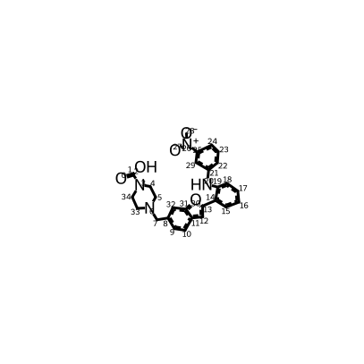 O=C(O)N1CCN(Cc2ccc3cc(-c4ccccc4Nc4cccc([N+](=O)[O-])c4)oc3c2)CC1